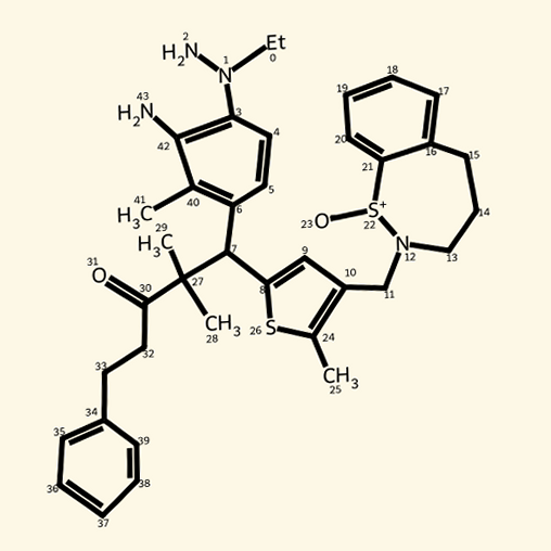 CCN(N)c1ccc(C(c2cc(CN3CCCc4ccccc4[S+]3[O-])c(C)s2)C(C)(C)C(=O)CCc2ccccc2)c(C)c1N